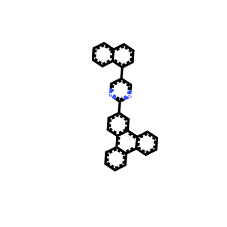 c1ccc2c(-c3cnc(-c4ccc5c6ccccc6c6ccccc6c5c4)nc3)cccc2c1